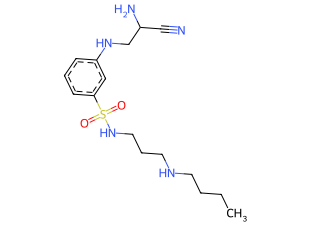 CCCCNCCCNS(=O)(=O)c1cccc(NCC(N)C#N)c1